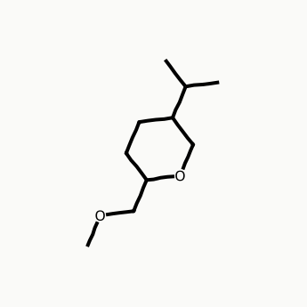 COCC1CCC(C(C)C)CO1